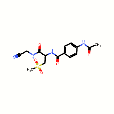 CC(=O)Nc1ccc(C(=O)NC(CS(C)(=O)=O)C(=O)NCC#N)cc1